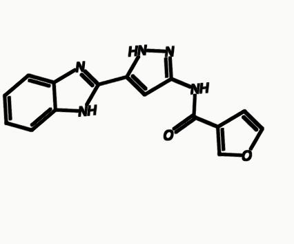 O=C(Nc1cc(-c2nc3ccccc3[nH]2)[nH]n1)c1ccoc1